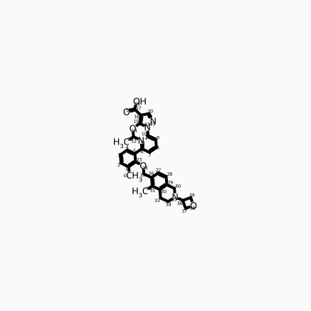 Cc1cccc(-c2cccc3[n+]2C(C)Oc2c(C(=O)O)cnn2-3)c1OCc1ccc2c(c1C)CCN(C1COC1)C2